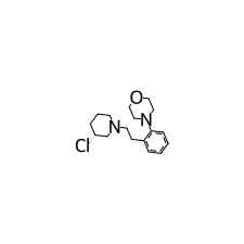 Cl[C@@H]1CCCN(CCc2ccccc2N2CCOCC2)C1